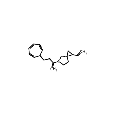 C=CC1CC12CCN(C(=C)CCC1C=CC=CC=C1)C2